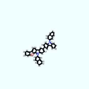 c1ccc2cc(-n3c4ccccc4c4cc(-c5ccc6c(c5)c5ccc7c8ccccc8oc7c5n6-c5ccc6ccccc6c5)ccc43)ccc2c1